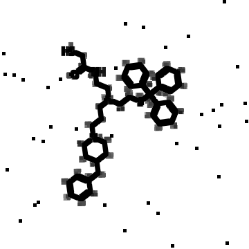 O=C(CS)NCCN(CCCN1CCC(Cc2ccccc2)CC1)CCSC(c1ccccc1)(c1ccccc1)c1ccccc1